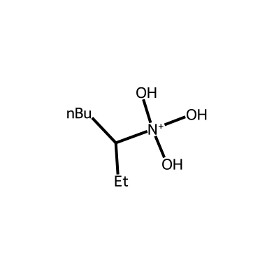 CCCCC(CC)[N+](O)(O)O